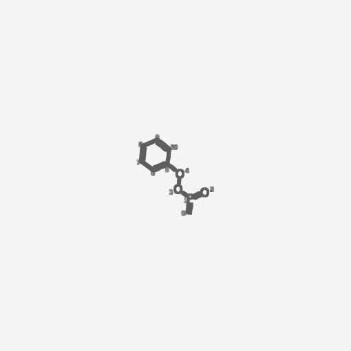 C=P(=O)OOc1ccccc1